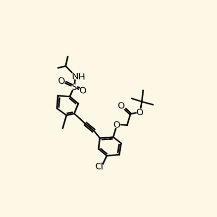 Cc1ccc(S(=O)(=O)NC(C)C)cc1C#Cc1cc(Cl)ccc1OCC(=O)OC(C)(C)C